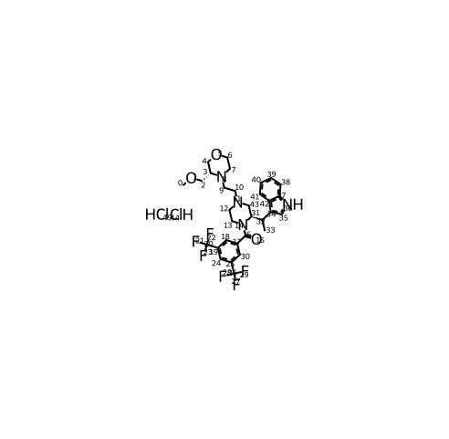 COC[C@@H]1COCCN1CCN1CCN(C(=O)c2cc(C(F)(F)F)cc(C(F)(F)F)c2)[C@H](C(C)c2c[nH]c3ccccc23)C1.Cl.Cl